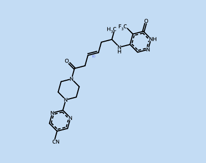 CC(C/C=C/CC(=O)N1CCN(c2ncc(C#N)cn2)CC1)Nc1cn[nH]c(=O)c1C(F)(F)F